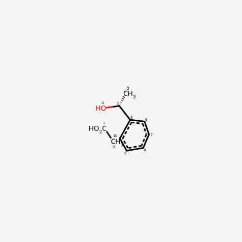 CC(=O)O.C[C@@H](O)c1ccccc1